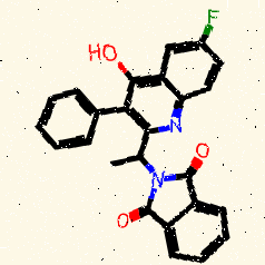 CC(c1nc2ccc(F)cc2c(O)c1-c1ccccc1)N1C(=O)c2ccccc2C1=O